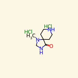 CN1CNC(=O)C12CCNCC2.Cl.Cl